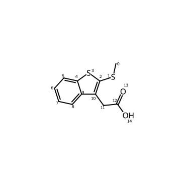 CSc1sc2ccccc2c1CC(=O)O